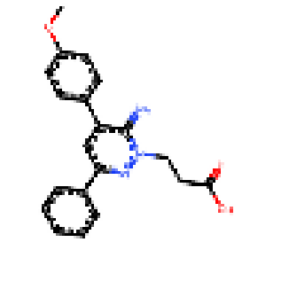 COc1ccc(-c2cc(-c3ccccc3)nn(CCC(=O)O)c2=N)cc1